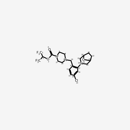 O=C(OC(C(F)(F)F)C(F)(F)F)N1CCN(Cc2ccc(Cl)cc2N2CC3CCC(C2)O3)CC1